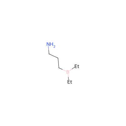 CCB(CC)CCCN